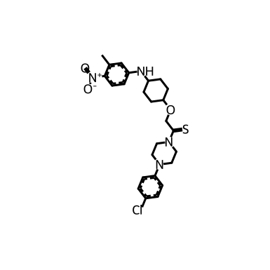 Cc1cc(NC2CCC(OCC(=S)N3CCN(c4ccc(Cl)cc4)CC3)CC2)ccc1[N+](=O)[O-]